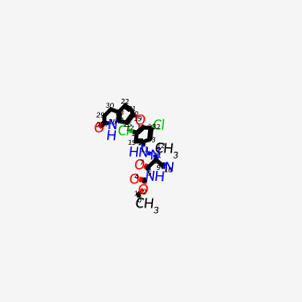 CCOC(=O)NC(=O)C(C#N)N(C)Nc1cc(Cl)c(Oc2ccc3c(c2)NC(=O)CC3)c(Cl)c1